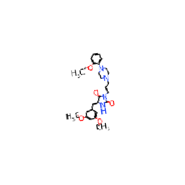 CCOc1ccccc1N1CCN(CCCN2C(=O)N/C(=C\c3cc(OC)cc(OC)c3)C2=O)CC1